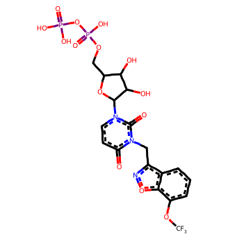 O=c1ccn(C2OC(COP(=O)(O)OP(=O)(O)O)C(O)C2O)c(=O)n1Cc1noc2c(OC(F)(F)F)cccc12